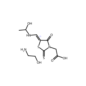 CC(O)N/C=C1\SC(=S)N(CC(=O)O)C1=O.NCCO